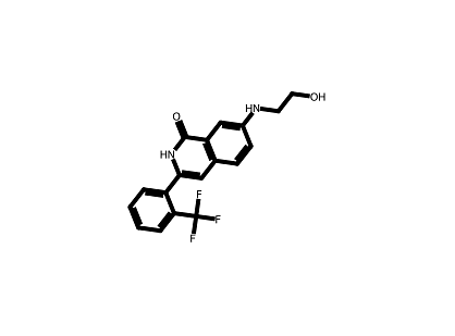 O=c1[nH]c(-c2ccccc2C(F)(F)F)cc2ccc(NCCO)cc12